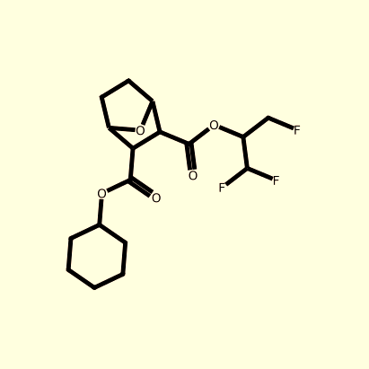 O=C(OC1CCCCC1)C1C2CCC(O2)C1C(=O)OC(CF)C(F)F